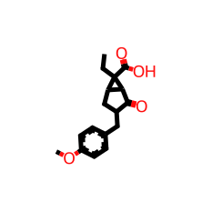 CCC1(C(=O)O)C2CC(Cc3ccc(OC)cc3)C(=O)C21